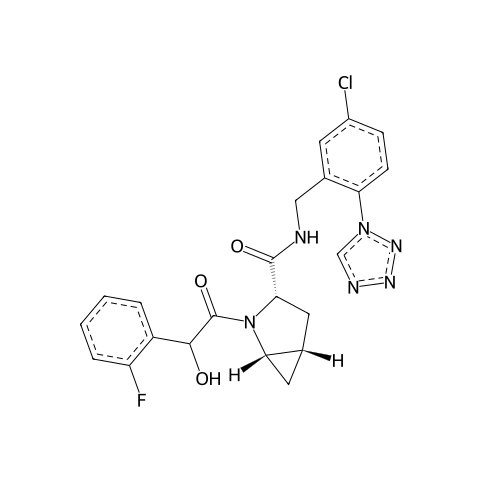 O=C(NCc1cc(Cl)ccc1-n1cnnn1)[C@@H]1C[C@@H]2C[C@@H]2N1C(=O)C(O)c1ccccc1F